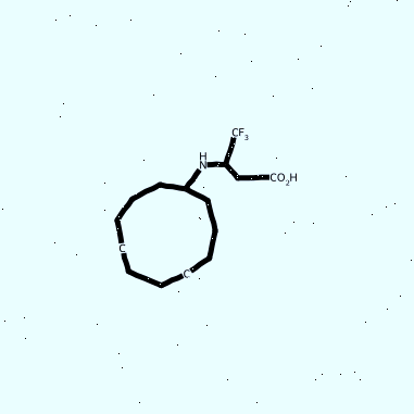 O=C(O)CC(NC1CCCCCCCCCC1)C(F)(F)F